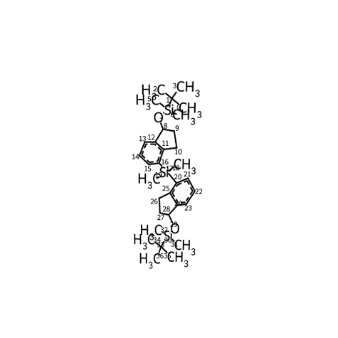 CC(C)(C)[Si](C)(C)OC1CCc2c1cccc2[Si](C)(C)c1cccc2c1CCC2O[Si](C)(C)C(C)(C)C